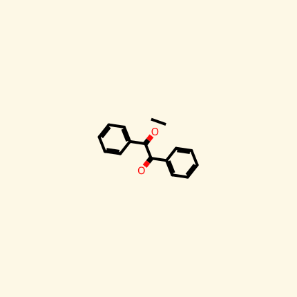 CC.O=C(C(=O)c1ccccc1)c1ccccc1